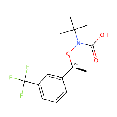 C[C@H](ON(C(=O)O)C(C)(C)C)c1cccc(C(F)(F)F)c1